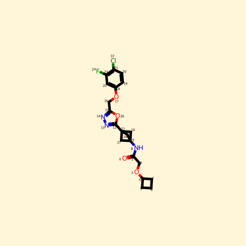 O=C(COC1CCC1)NC12CC(c3nnc(COc4ccc(Cl)c(F)c4)o3)(C1)C2